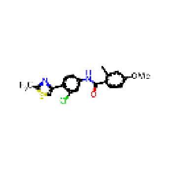 COc1ccc(C(=O)Nc2ccc(-c3csc(C(F)(F)F)n3)c(Cl)c2)c(C)c1